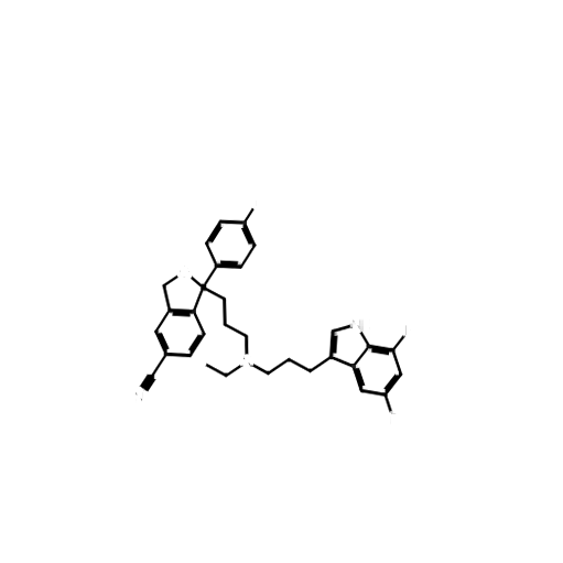 CCN(CCCc1c[nH]c2c(F)cc(F)cc12)CCCC1(c2ccc(F)cc2)OCc2cc(C#N)ccc21